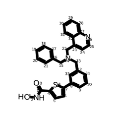 O=C(NO)c1ccc(-c2cccc(CN(Cc3ccccc3)Cc3ccnc4ccccc34)c2)s1